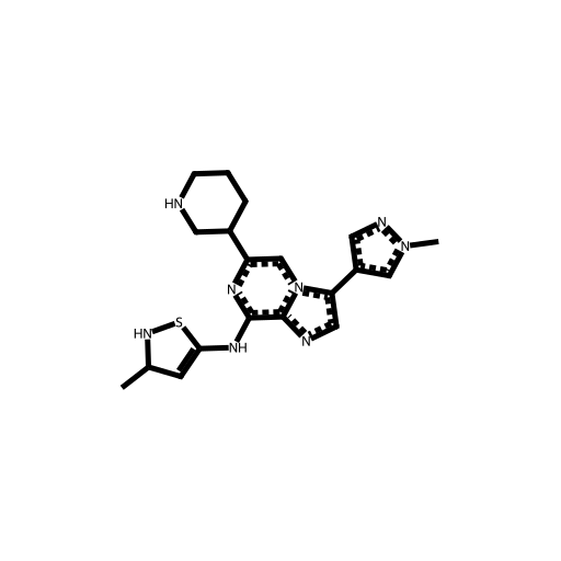 CC1C=C(Nc2nc(C3CCCNC3)cn3c(-c4cnn(C)c4)cnc23)SN1